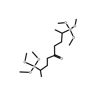 CO[Si](OC)(OC)C(C)CCC(=O)CCC(C)[Si](OC)(OC)OC